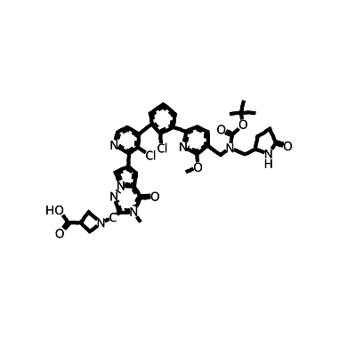 COc1nc(-c2cccc(-c3ccnc(-c4cc5c(=O)n(C)c(CN6CC(C(=O)O)C6)nn5c4)c3Cl)c2Cl)ccc1CN(CC1CCC(=O)N1)C(=O)OC(C)(C)C